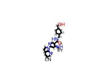 CC(C)Nc1cc(-n2ccc3cc(C#N)cnc32)ncc1C(=O)NCC1CCC(CO)CC1